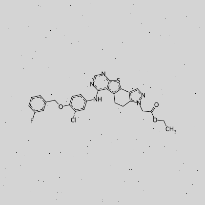 CCOC(=O)Cn1ncc2c1CCc1c-2sc2ncnc(Nc3ccc(OCc4cccc(F)c4)c(Cl)c3)c12